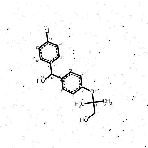 CC(C)(CO)Oc1ccc(C(O)c2ccc(Cl)cc2)cc1